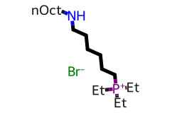 CCCCCCCCNCCCCCC[P+](CC)(CC)CC.[Br-]